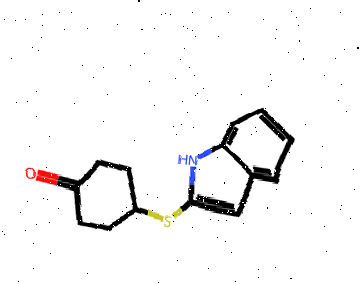 O=C1CCC(Sc2cc3ccccc3[nH]2)CC1